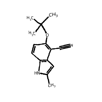 Cc1cc2c(C#N)c(OC(C)(C)C)ccc2[nH]1